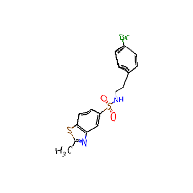 Cc1nc2cc(S(=O)(=O)NCCc3ccc(Br)cc3)ccc2s1